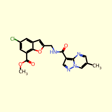 COC(=O)c1cc(Cl)cc2cc(CNC(=O)c3cnn4cc(C)cnc34)oc12